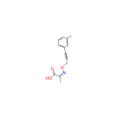 CC(=NOCC#Cc1cccc(C)c1)C(=O)O